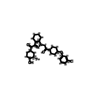 O=C(Cn1nc(C(=O)N2CC[C@H](O)[C@@H](F)C2)c2c1CCCC2)N1CCC(Oc2cccc(Cl)c2)CC1